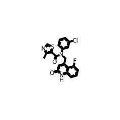 Cc1ncsc1C(=O)N(Cc1cc(=O)[nH]c2cccc(F)c12)c1cccc(Cl)c1